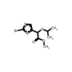 COC(=O)C(OC(C)C)c1csc(Br)n1